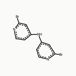 Brc1cc(Nc2ccnc(Br)c2)ccn1